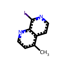 Cc1ccnc2c(I)nccc12